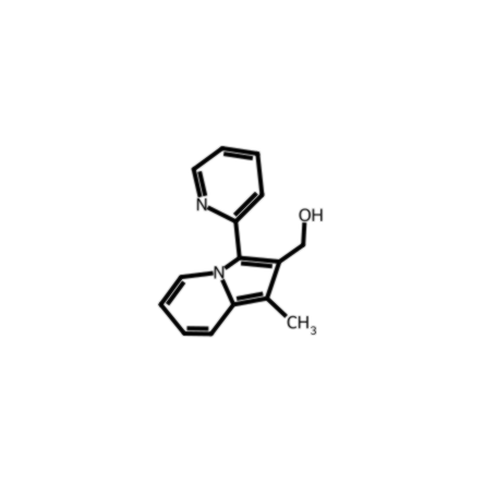 Cc1c(CO)c(-c2ccccn2)n2ccccc12